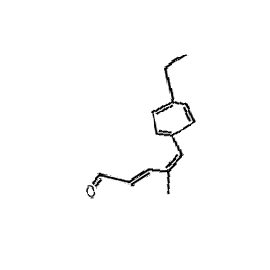 CCc1ccc(C=C(C)C=CC=O)cc1